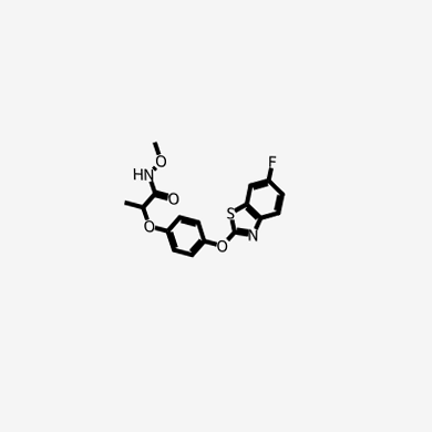 CONC(=O)C(C)Oc1ccc(Oc2nc3ccc(F)cc3s2)cc1